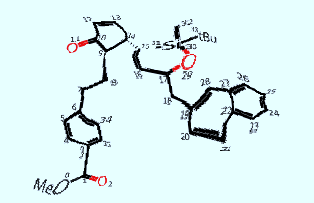 COC(=O)c1ccc(CC[C@H]2C(=O)C=C[C@@H]2C=CC(Cc2ccc3ccccc3c2)O[Si](C)(C)C(C)(C)C)cc1